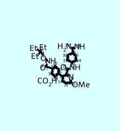 CCC(CC)(CC)CONC(=O)c1ccc(-c2ccc(OC)nc2C(=O)Nc2ccc(C(=N)N)cc2)c(C(=O)O)c1